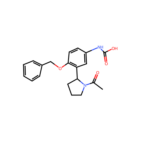 CC(=O)N1CCCC1c1cc(NC(=O)O)ccc1OCc1ccccc1